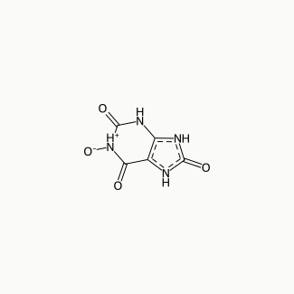 O=C1Nc2[nH]c(=O)[nH]c2C(=O)[NH+]1[O-]